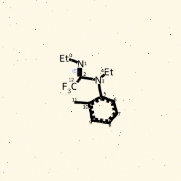 CC/N=C(/N(CC)c1ccccc1C)C(F)(F)F